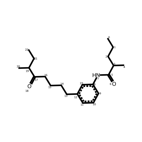 CCCC(C)C(=O)Nc1cccc(CCCCC(=O)C(C)CC)c1